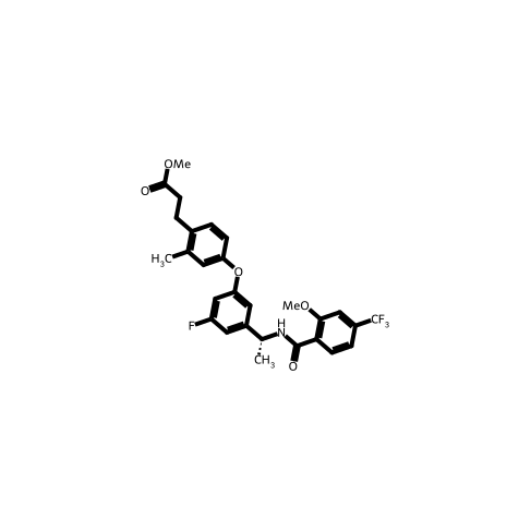 COC(=O)CCc1ccc(Oc2cc(F)cc([C@@H](C)NC(=O)c3ccc(C(F)(F)F)cc3OC)c2)cc1C